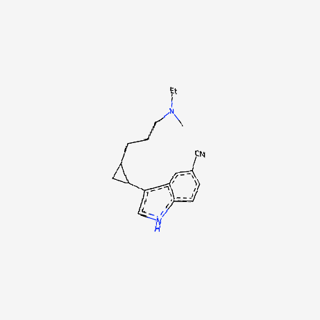 CCN(C)CCCC1CC1c1c[nH]c2ccc(C#N)cc12